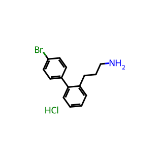 Cl.NCCCc1ccccc1-c1ccc(Br)cc1